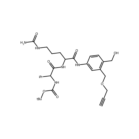 C#CCOCc1cc(NC(=O)C(CCCNC(N)=O)NC(=O)C(NC(=O)OC(C)(C)C)C(C)C)ccc1CO